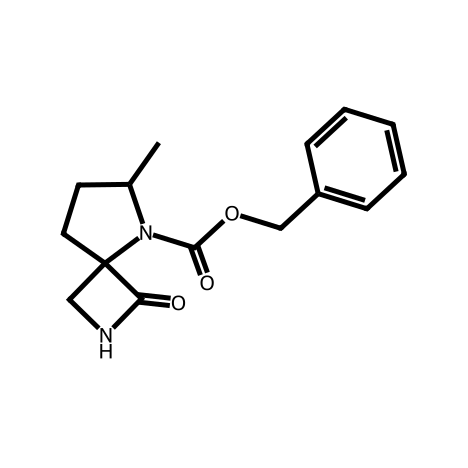 CC1CCC2(CNC2=O)N1C(=O)OCc1ccccc1